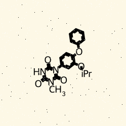 CC(C)Oc1cc(-n2c(=O)[nH]c(=O)n(C)c2=O)ccc1Oc1ccccc1